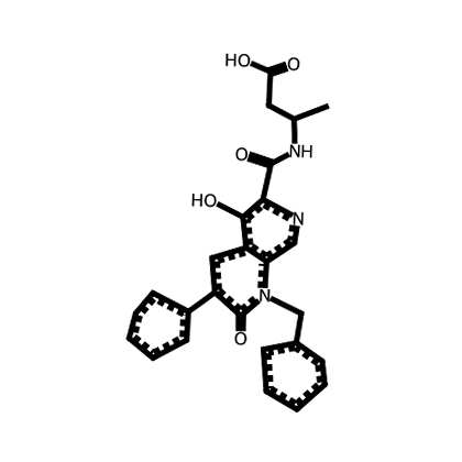 CC(CC(=O)O)NC(=O)c1ncc2c(cc(-c3ccccc3)c(=O)n2Cc2ccccc2)c1O